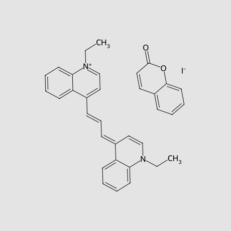 CCN1C=C/C(=C\C=C\c2cc[n+](CC)c3ccccc23)c2ccccc21.O=c1ccc2ccccc2o1.[I-]